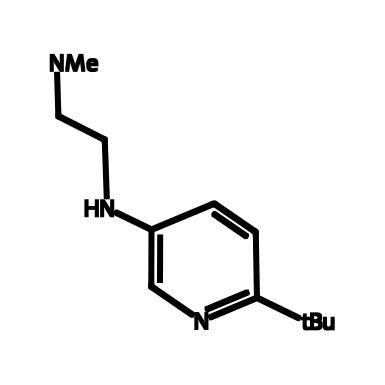 CNCCNc1ccc(C(C)(C)C)nc1